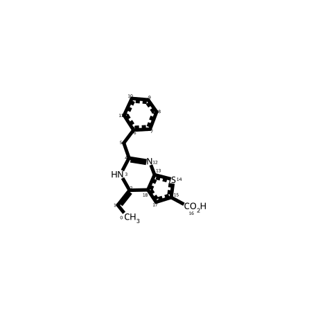 C/C=C1/NC(Cc2ccccc2)=Nc2sc(C(=O)O)cc21